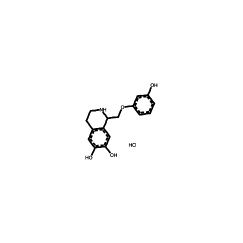 Cl.Oc1cccc(OCC2NCCc3cc(O)c(O)cc32)c1